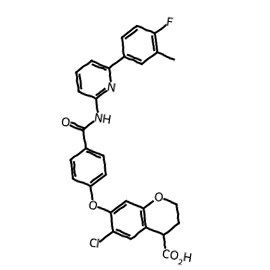 Cc1cc(-c2cccc(NC(=O)c3ccc(Oc4cc5c(cc4Cl)C(C(=O)O)CCO5)cc3)n2)ccc1F